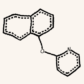 c1ccc(Oc2cccc3ccccc23)nc1